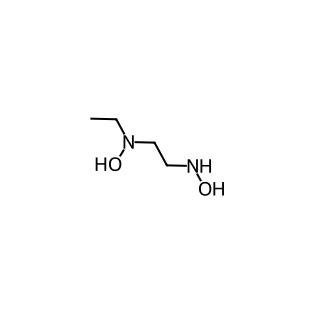 CCN(O)CCNO